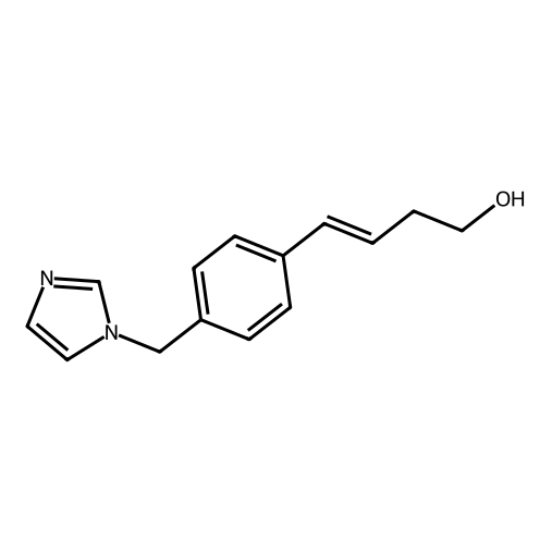 OCCC=Cc1ccc(Cn2ccnc2)cc1